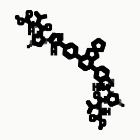 COC(=O)N[C@H](C(=O)N1C[C@@H](C)C[C@H]1c1cnc(-c2ccc(-c3ccc(-c4ccc5nc([C@@H]6C[C@H](C)CN6C(=O)[C@@H](NC(=O)OC)C(C)C)[nH]c5c4)c4c3CC3(CCCC3)C4)cc2)[nH]1)C(C)C